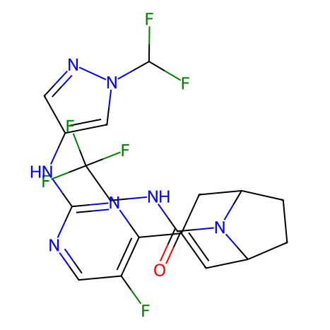 O=C(NCC(F)(F)F)N1C2C=C(c3nc(Nc4cnn(C(F)F)c4)ncc3F)CC1CC2